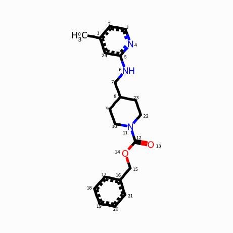 Cc1ccnc(NCC2CCN(C(=O)OCc3ccccc3)CC2)c1